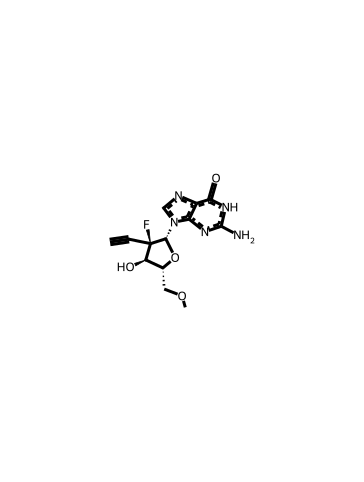 C#C[C@@]1(F)[C@H](O)[C@@H](COC)O[C@H]1n1cnc2c(=O)[nH]c(N)nc21